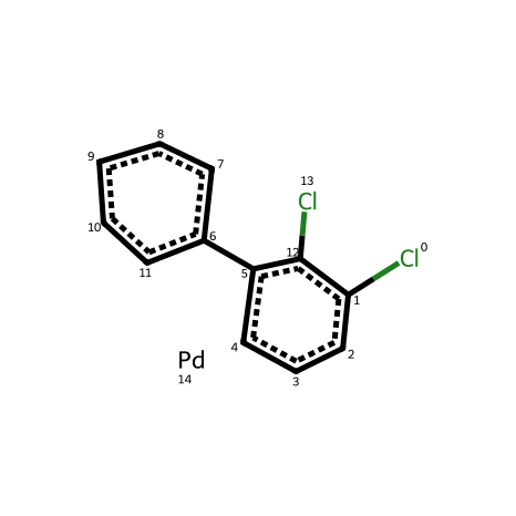 Clc1cccc(-c2ccccc2)c1Cl.[Pd]